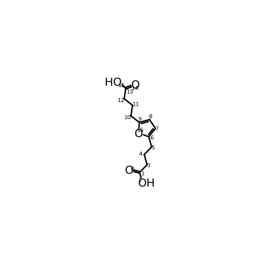 O=C(O)CCCc1ccc(CCCC(=O)O)o1